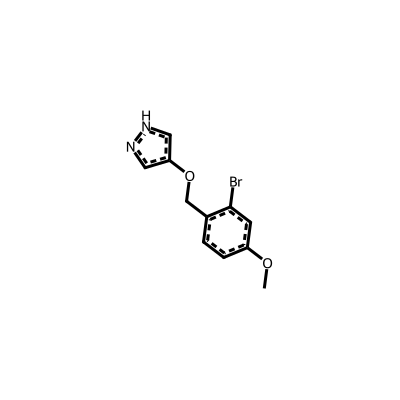 COc1ccc(COc2cn[nH]c2)c(Br)c1